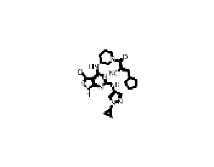 N#C/C(=C\C1CCCC1)C(=O)N1CCC[C@@H](Nc2nc(Nc3cnn(C4CC4)c3)nc3[nH]nc(Cl)c23)C1